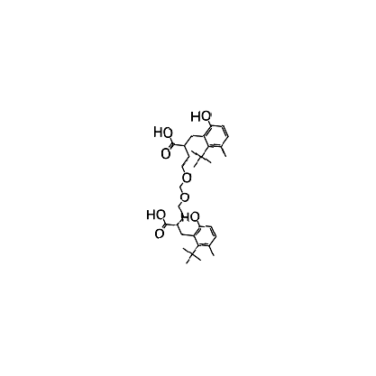 Cc1ccc(O)c(CC(CCOCOCCC(Cc2c(O)ccc(C)c2C(C)(C)C)C(=O)O)C(=O)O)c1C(C)(C)C